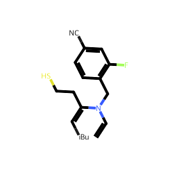 C=CN(Cc1ccc(C#N)cc1F)/C(=C\C(C)CC)CCS